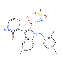 Cc1ccc(Cn2c(C(=O)NS(C)(=O)=O)c(-c3ccc[nH]c3=O)c3cc(C)ccc32)c(C)c1